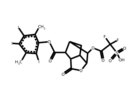 Cc1c(I)c(I)c(C)c(OC(=O)C2C3CC4C(OC(=O)C42)C3OC(=O)C(F)(F)S(=O)(=O)O)c1I